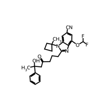 CC(O)(CC(=O)CCCc1nc2c(OC(F)F)cc(C#N)cc2n1C1(C)CCC1)c1ccccc1